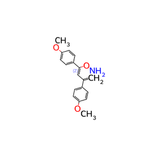 C=C(/C=C(\ON)c1ccc(OC)cc1)c1ccc(OC)cc1